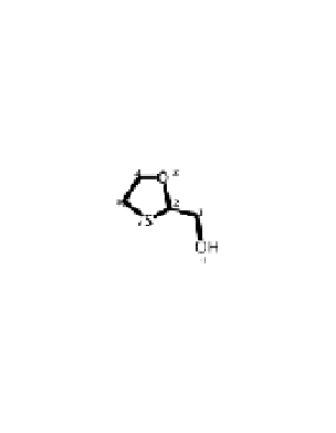 OC[C@@H]1OC[CH]S1